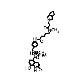 CN(CCCCC(=O)Nc1ccc(CNC[C@H](O[Si](C)(C)C(C)(C)C)c2ccc(O)c3[nH]c(=O)ccc23)cc1)C(=O)CCN1CC2CCCC2C1